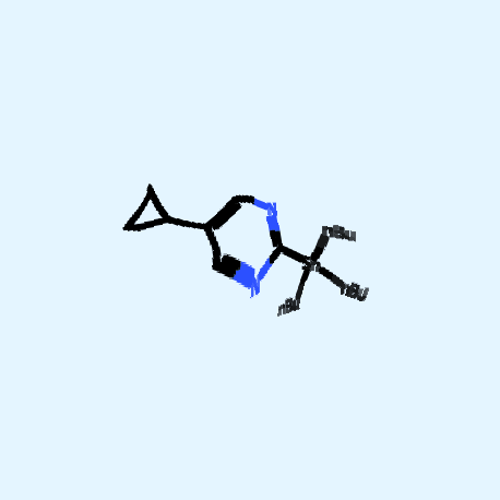 CCC[CH2][Sn]([CH2]CCC)([CH2]CCC)[c]1ncc(C2CC2)cn1